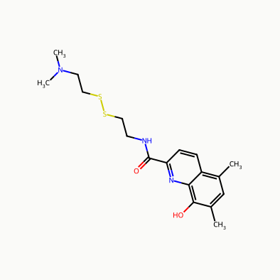 Cc1cc(C)c2ccc(C(=O)NCCSSCCN(C)C)nc2c1O